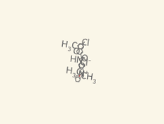 Cc1cc(Cl)cc2c1OCC(C(=O)Nc1ccc(C[N+](C)(C)C3CC4CCC3C4)cc1)=C2.[Cl-]